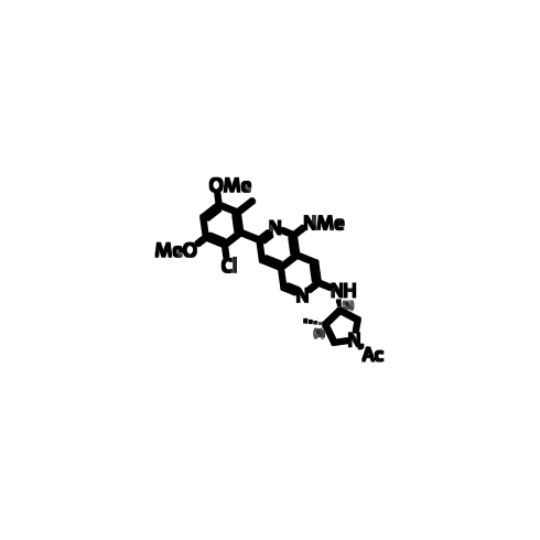 CNc1nc(-c2c(C)c(OC)cc(OC)c2Cl)cc2cnc(N[C@@H]3CN(C(C)=O)C[C@@H]3C)cc12